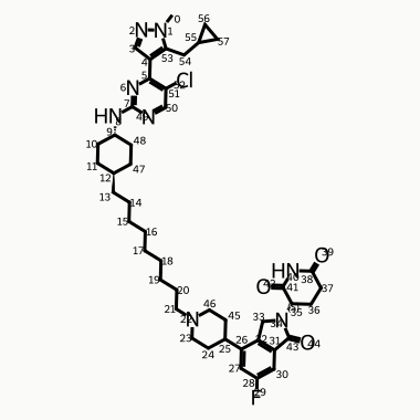 Cn1ncc(-c2nc(N[C@H]3CC[C@H](CCCCCCCCCN4CCC(c5cc(F)cc6c5CN([C@H]5CCC(=O)NC5=O)C6=O)CC4)CC3)ncc2Cl)c1CC1CC1